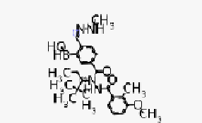 CC[C@@H](N(NC(=O)c1cccc(OC)c1C)C(=O)c1ccc(/C=N\NC)c(BO)c1)C(C)(C)C